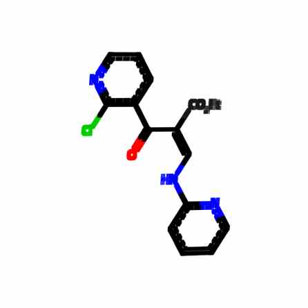 CCOC(=O)/C(=C/Nc1ccccn1)C(=O)c1cccnc1Cl